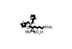 CC(=O)NCCCCC(C(=O)N(Cc1cccs1)Cc1cccs1)N(C(=O)O)C(C)(C)C